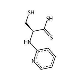 S=C(S)[C@H](CS)Nc1ccccn1